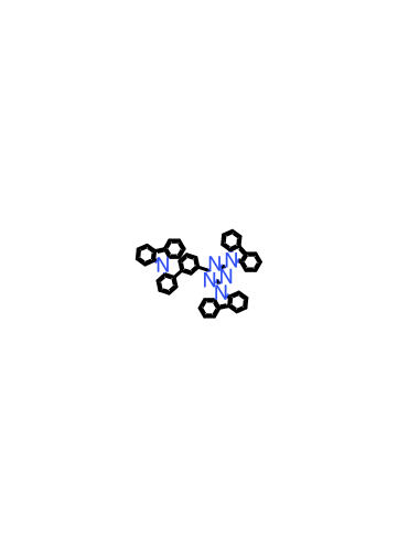 c1cc(-c2nc(-n3c4ccccc4c4ccccc43)nc(-n3c4ccccc4c4ccccc43)n2)cc(-c2ccccc2-n2c3ccccc3c3ccccc32)c1